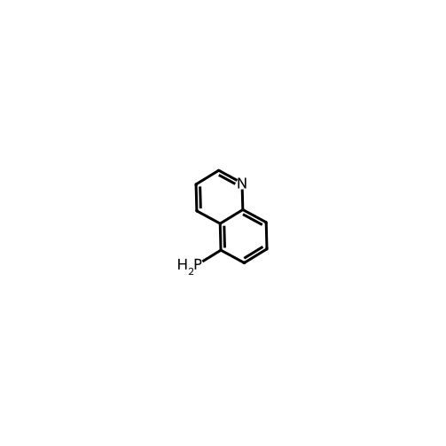 Pc1cccc2ncccc12